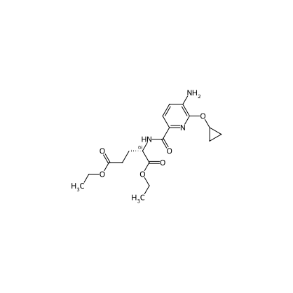 CCOC(=O)CC[C@H](NC(=O)c1ccc(N)c(OC2CC2)n1)C(=O)OCC